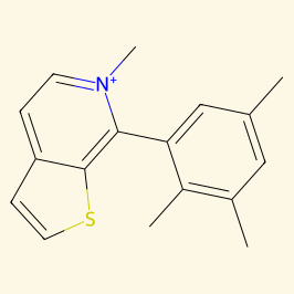 Cc1cc(C)c(C)c(-c2c3sccc3cc[n+]2C)c1